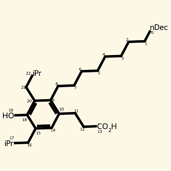 CCCCCCCCCCCCCCCCCCc1c(CCC(=O)O)cc(CC(C)C)c(O)c1CC(C)C